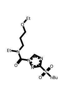 CCCCS(=O)(=O)c1ncn(C(=O)N(CC)CCCOCC)n1